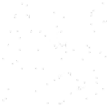 Cn1ccc2c(C3CC(OC(=O)NCc4ccc5c(c4)C(=O)N(C4CCC(=O)NC4=O)C5)C3)cccc21